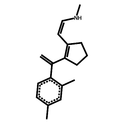 C=C(C1=C(/C=C\NC)CCC1)c1ccc(C)cc1C